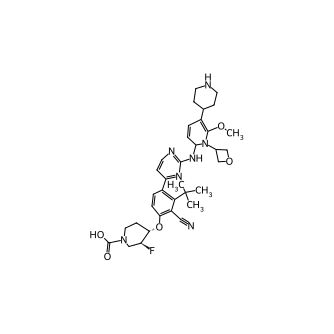 COC1=C(C2CCNCC2)C=CC(Nc2nccc(-c3ccc(O[C@H]4CCN(C(=O)O)C[C@@H]4F)c(C#N)c3C(C)(C)C)n2)N1C1COC1